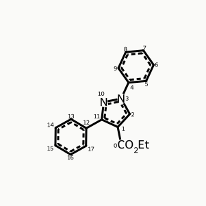 CCOC(=O)c1cn(-c2ccccc2)nc1-c1ccccc1